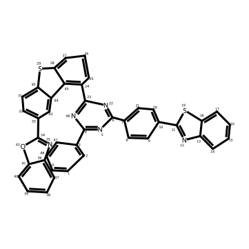 c1ccc(-c2nc(-c3ccc(-c4nc5ccccc5s4)cc3)nc(-c3cccc4sc5ccc(-c6nc7ccccc7o6)cc5c34)n2)cc1